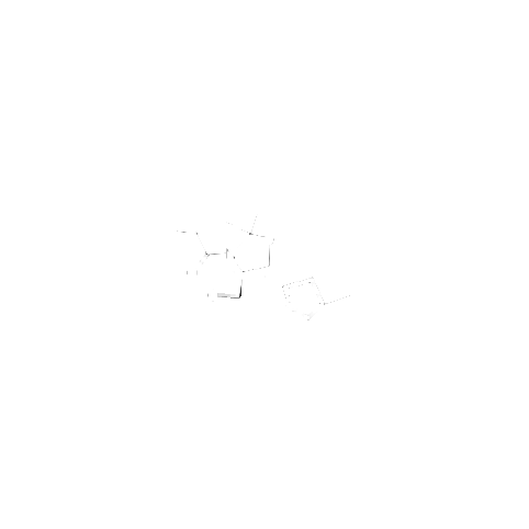 CCC(=O)N1[C@H](C=O)[C@@H](c2cc(C)cs2)OC1(C)C